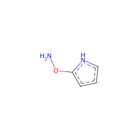 NOc1c[c]c[nH]1